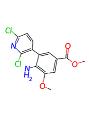 COC(=O)c1cc(OC)c(N)c(-c2ccc(Cl)nc2Cl)c1